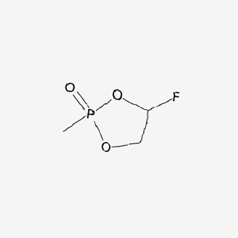 CP1(=O)OCC(F)O1